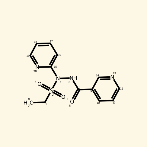 CCS(=O)(=O)N(NC(=O)c1cccnc1)c1ccccn1